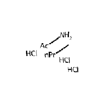 CC(N)=O.CCCC.Cl.Cl.Cl